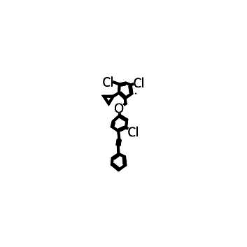 Clc1[c]c(COc2ccc(C#Cc3ccccc3)c(Cl)c2)c(C2CC2)c(Cl)c1